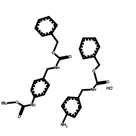 CC(C)(C)OC(=O)Nc1ccc(CNC(=O)OCc2ccccc2)cc1.Cl.Nc1ccc(CNC(=O)OCc2ccccc2)cc1